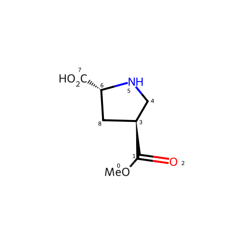 COC(=O)[C@@H]1CN[C@@H](C(=O)O)C1